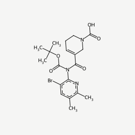 Cc1cc(Br)c(N(C(=O)OC(C)(C)C)C(=O)C2=CCCN(C(=O)O)C2)nc1C